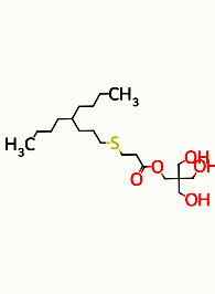 CCCCC(CCCC)CCCSCCC(=O)OCC(CO)(CO)CO